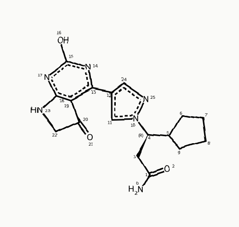 NC(=O)C[C@H](C1CCCC1)n1cc(-c2nc(O)nc3c2C(=O)CN3)cn1